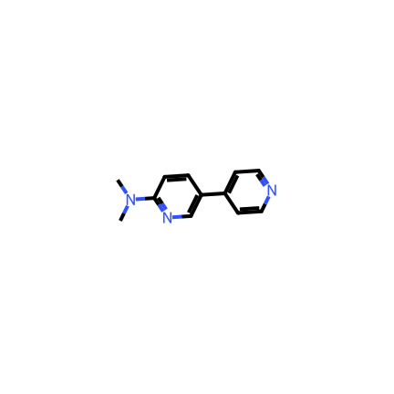 CN(C)c1ccc(-c2ccncc2)cn1